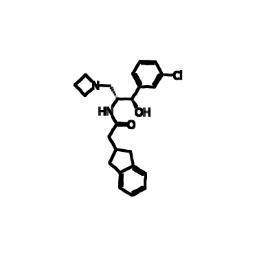 O=C(CC1Cc2ccccc2C1)N[C@H](CN1CCC1)[C@H](O)c1cccc(Cl)c1